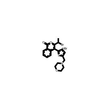 Br.CC(Br)c1oc(=O)c2ccccc2c1-c1ccc(CN2CCOCC2)s1